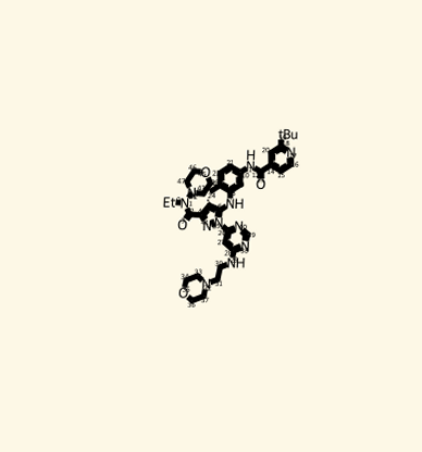 CCN(C(=O)c1cc(Nc2cc(NC(=O)c3ccnc(C(C)(C)C)c3)ccc2C)n(-c2cc(NCCN3CCOCC3)ncn2)n1)N1CCOCC1